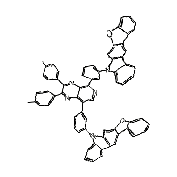 Cc1ccc(-c2nc3c(-c4cccc(-n5c6ccccc6c6cc7c(cc65)oc5ccccc57)c4)cnc(-c4cccc(-n5c6ccccc6c6cc7c(cc65)oc5ccccc57)c4)c3nc2-c2ccc(C)cc2)cc1